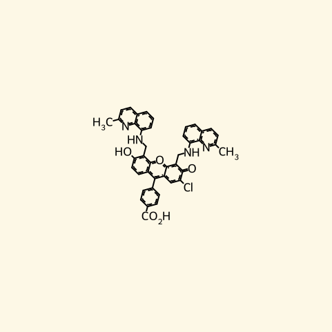 Cc1ccc2cccc(NCc3c4oc5c(CNc6cccc7ccc(C)nc67)c(O)ccc5c(-c5ccc(C(=O)O)cc5)c-4cc(Cl)c3=O)c2n1